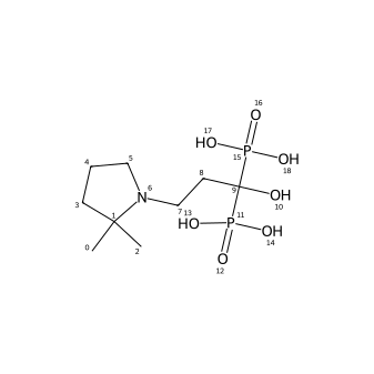 CC1(C)CCCN1CCC(O)(P(=O)(O)O)P(=O)(O)O